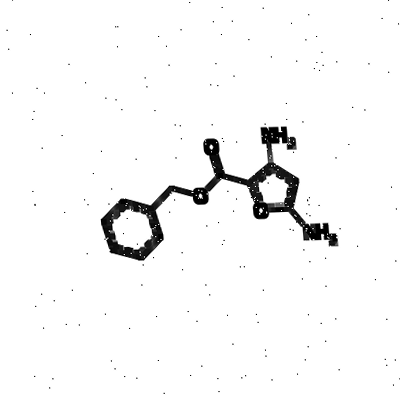 Nc1cc(N)c(C(=O)OCc2ccccc2)o1